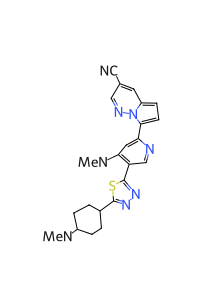 CNc1cc(-c2ccc3cc(C#N)cnn23)ncc1-c1nnc(C2CCC(NC)CC2)s1